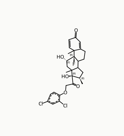 C[C@@H]1CC2C3CCC4=CC(=O)C=CC4(C)[C@@]3(F)[C@@H](O)CC2(C)[C@@]1(O)C(=O)COc1ccc(Cl)cc1Cl